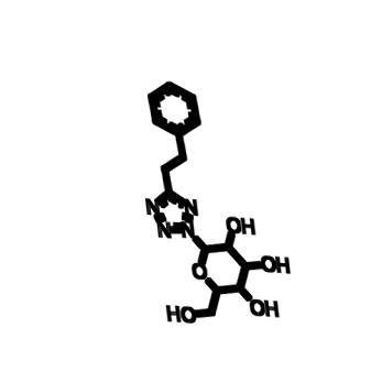 OCC1OC(n2nnc(CCc3ccccc3)n2)C(O)C(O)C1O